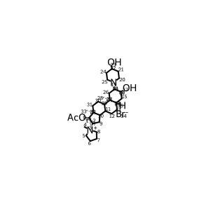 CC(=O)O[C@H]1[C@@H]([N+]2(C)CCCC2)CC2C3CC[C@H]4C[C@H](O)[C@@H](N5CCC(O)CC5)C[C@]4(C)C3CC[C@@]21C.[Br-]